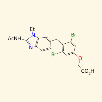 CCn1c(NC(C)=O)nc2ccc(Cc3c(Br)cc(OCC(=O)O)cc3Br)cc21